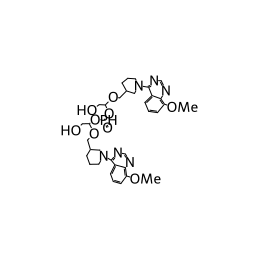 COc1cccc2c(N3CCCC(COC(CO)O[PH](=O)OC(CO)OCC4CCCN(c5ncnc6c(OC)cccc56)C4)C3)ncnc12